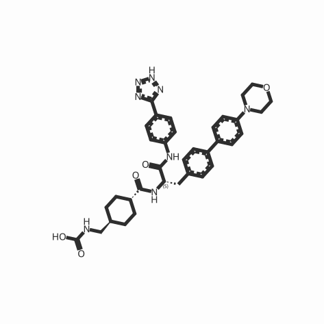 O=C(O)NC[C@H]1CC[C@H](C(=O)N[C@@H](Cc2ccc(-c3ccc(N4CCOCC4)cc3)cc2)C(=O)Nc2ccc(-c3nn[nH]n3)cc2)CC1